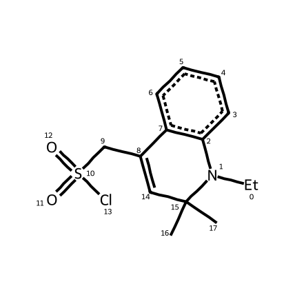 CCN1c2ccccc2C(CS(=O)(=O)Cl)=CC1(C)C